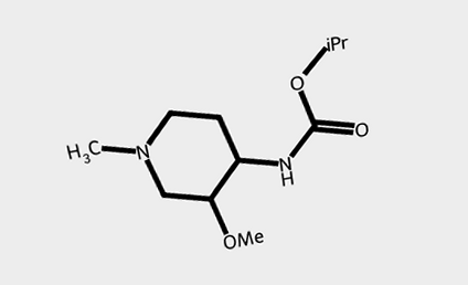 COC1CN(C)CCC1NC(=O)OC(C)C